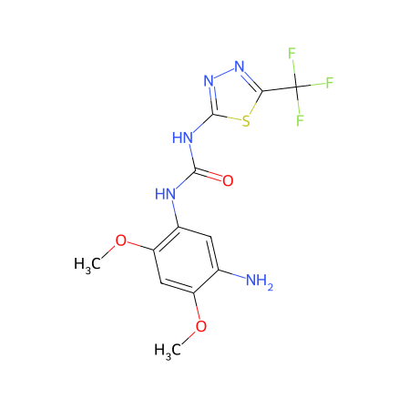 COc1cc(OC)c(NC(=O)Nc2nnc(C(F)(F)F)s2)cc1N